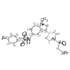 CC(C)CC(=O)N1CCC(c2cn(C)c3ccc(NS(=O)(=O)c4ccc(F)cc4)cc23)CC1